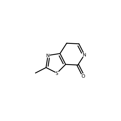 Cc1nc2c(s1)C(=O)N=CC2